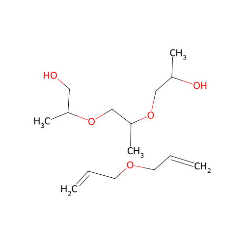 C=CCOCC=C.CC(O)COC(C)COC(C)CO